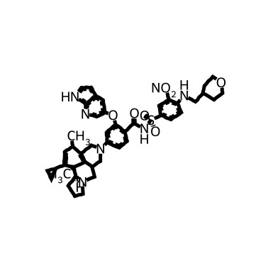 CC1C=C(C2CC2)C2(C)C3=C1CN(c1ccc(C(=O)NS(=O)(=O)c4ccc(NCC5CCOCC5)c([N+](=O)[O-])c4)c(Oc4cnc5[nH]ccc5c4)c1)CC3CN1CCC[C@H]12